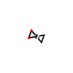 [CH2]1[CH2][Pd]1234([CH2][CH2]2)([CH2][CH2]3)[CH2][CH2]4